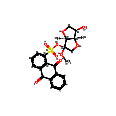 O=C1c2ccccc2C(=O)c2c1cccc2S(=O)(=O)O[C@@]1(O[N+](=O)[O-])CO[C@@H]2[C@H](O)CO[C@@H]21